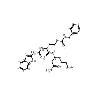 CCCCCCCCCCCCC[C@@H](CC(N)=O)OC(=O)[C@H](CCCC(=O)OCc1ccccc1)NC(=O)Nc1nc2ccccc2s1